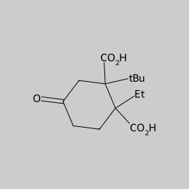 CCC1(C(=O)O)CCC(=O)CC1(C(=O)O)C(C)(C)C